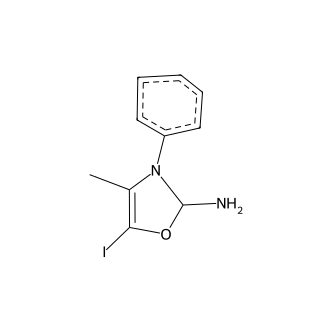 CC1=C(I)OC(N)N1c1ccccc1